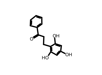 O=C(CCc1c(O)cc(O)cc1O)c1ccccc1